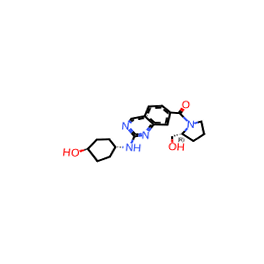 O=C(c1ccc2cnc(N[C@H]3CC[C@H](O)CC3)nc2c1)N1CCC[C@@H]1CO